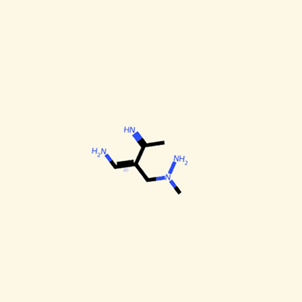 CC(=N)/C(=C\N)CN(C)N